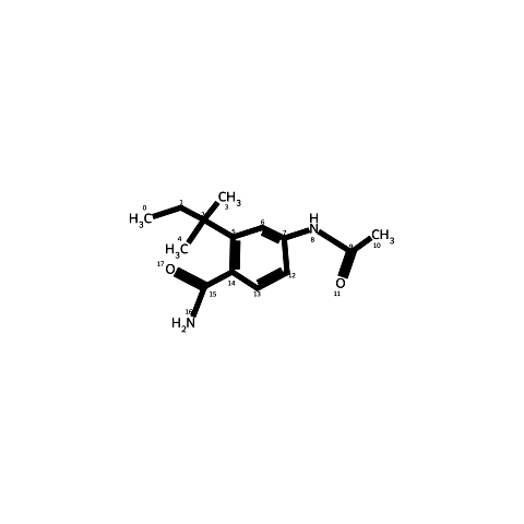 CCC(C)(C)c1cc(NC(C)=O)ccc1C(N)=O